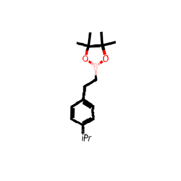 CC(C)c1ccc(CCB2OC(C)(C)C(C)(C)O2)cc1